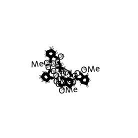 COC(=O)c1ccccc1C(=O)OCCOCC(COC(=O)c1ccccc1C(=O)OC)(COC(=O)c1ccccc1C(=O)OC)COC(=O)c1ccccc1C(=O)OC